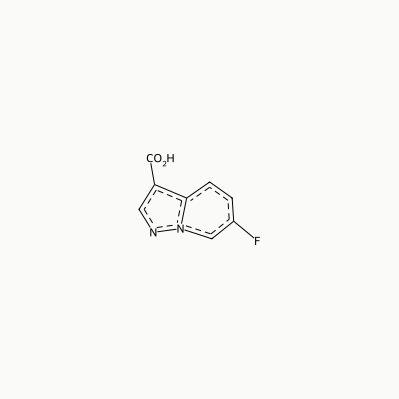 O=C(O)c1cnn2cc(F)ccc12